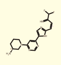 N=C(/C=C\c1ncc(-c2cc(N3CCC[C@H](N)C3)ncn2)[nH]1)C(F)F